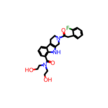 O=C(Cc1ccccc1F)N1CCc2c([nH]c3c(C(=O)N(CCO)CCO)cccc23)C1